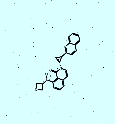 CN(c1cccc2ccn([C@@H]3CC3c3ccc4ccccc4n3)c(=O)c12)C1COC1